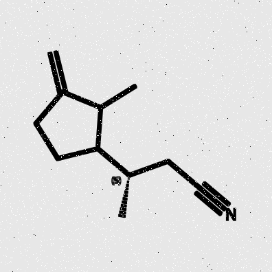 C=C1CCC([C@@H](C)CC#N)C1C